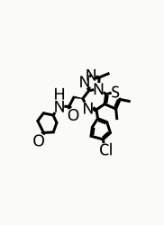 Cc1sc2c(c1C)C(c1ccc(Cl)cc1)=N[C@@H](CC(=O)NC1CCC(=O)CC1)c1nnc(C)n1-2